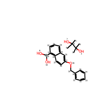 CC(C)(O)C(C)(C)O.OB(O)c1cccc2cc(OCc3ccccc3)ccc12